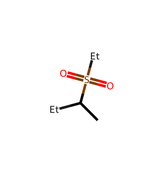 CCC(C)S(=O)(=O)CC